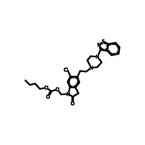 CCCCOC(=O)OCN1C(=O)Cc2cc(CCN3CCN(c4nsc5ccccc45)CC3)c(Cl)cc21